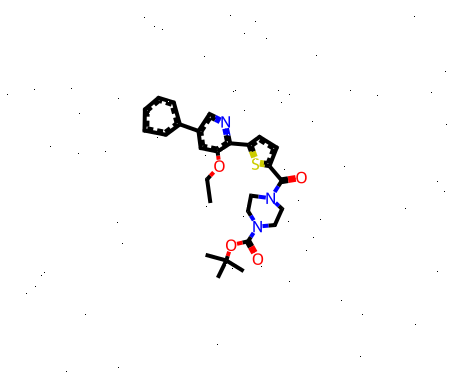 CCOc1cc(-c2ccccc2)cnc1-c1ccc(C(=O)N2CCN(C(=O)OC(C)(C)C)CC2)s1